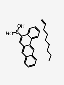 C=CCCCCCCC.OB(O)c1cc2cc3ccccc3cc2c2ccccc12